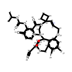 CC(C)OC(=O)Oc1c2n(ccc1=O)N1CN(C2=O)C2(/C=C/COc3cc(F)c(F)c4c3C1c1cccc(C#N)c1SC4)CCC2